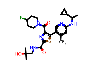 CC(Nc1cc(C(F)(F)F)c(-c2sc(C(=O)NCC(C)(C)O)nc2C(=O)N2CCC(F)CC2)cn1)C1CC1